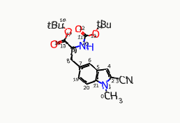 Cn1c(C#N)cc2cc(C[C@H](NC(=O)OC(C)(C)C)C(=O)OC(C)(C)C)ccc21